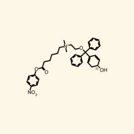 C[N+](C)(CCCCCC(=O)Oc1ccc([N+](=O)[O-])cc1)CCOC(C1=CC[C@H](O)C=C1)(c1ccccc1)c1ccccc1